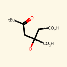 CC(C)(C)C(=O)CC(O)(CC(=O)O)C(=O)O